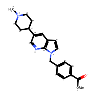 COC(=O)c1ccc(Cn2ccc3cc(C4CCN(C)CC4)cnc32)cc1